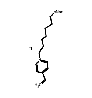 C=Cc1cc[n+](CCCCCCCCCCCCCCCC)cc1.[Cl-]